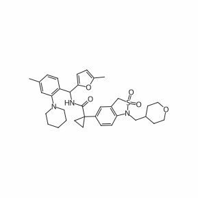 Cc1ccc(C(NC(=O)C2(c3ccc4c(c3)CS(=O)(=O)N4CC3CCOCC3)CC2)c2ccc(C)o2)c(N2CCCCC2)c1